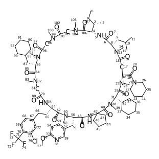 CC[C@H](C)[C@@H]1NC(=O)[C@H](CC(C)C)N(C)C(=O)C[C@@H](C(=O)N2CCCCC2)N(C)C(=O)[C@H](C2CCCCC2)N(C)C(=O)C2(CCCC2)NC(=O)[C@H](Cc2ccc(OC)nc2)N(C)C(=O)[C@H](CCc2ccc(C(F)(F)F)c(Cl)c2)NC(=O)CN(C)C(=O)[C@H](CC2CCCCC2)N(C)C(=O)CN(C)C(=O)CN(C)C1=O